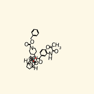 C[C@H]1Oc2ccc(C(=O)N[C@H]3C[C@H]4CC[C@@H](C3)N4S(=O)(=O)CC3CCN(C(=O)OCc4ccccc4)CC3)cc2NC1=O